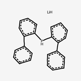 [LiH].c1ccc(-c2ccccc2Pc2ccccc2-c2ccccc2)cc1